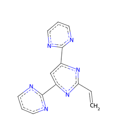 C=Cc1nc(-c2ncccn2)cc(-c2ncccn2)n1